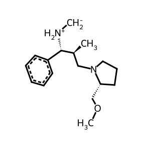 [CH2-][NH2+][C@@H](c1ccccc1)[C@@H](C)CN1CCC[C@@H]1COC